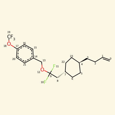 C=CCC[C@H]1CC[C@H](CC(F)(F)OCc2ccc(OC(F)(F)F)cc2)CC1